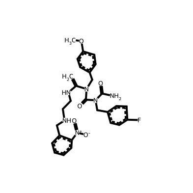 C=C(NCCNCc1ccccc1[N+](=O)[O-])N(Cc1ccc(OC)cc1)C(=O)N(Cc1ccc(F)cc1)C(N)=O